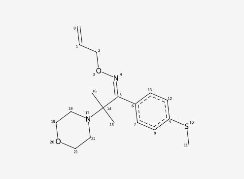 C=CCO/N=C(/c1ccc(SC)cc1)C(C)(C)N1CCOCC1